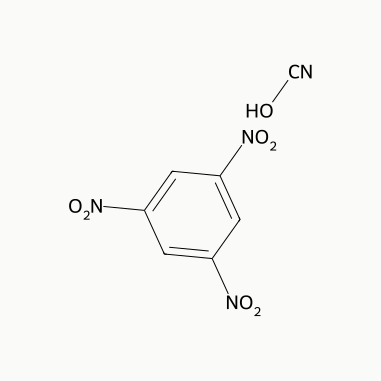 N#CO.O=[N+]([O-])c1cc([N+](=O)[O-])cc([N+](=O)[O-])c1